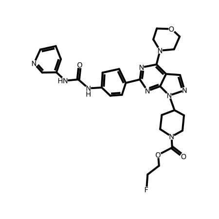 O=C(Nc1ccc(-c2nc(N3CCOCC3)c3cnn(C4CCN(C(=O)OCCF)CC4)c3n2)cc1)Nc1cccnc1